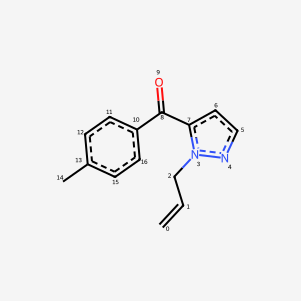 C=CCn1nccc1C(=O)c1ccc(C)cc1